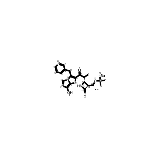 CC(C(=O)c1sc2c(O)ncn2c1Cc1cccnc1)[C@H]1NC(=O)[C@@H]1[C@@H](C)O[Si](C)(C)C(C)(C)C